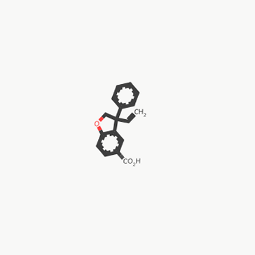 C=CC1(c2ccccc2)COc2ccc(C(=O)O)cc21